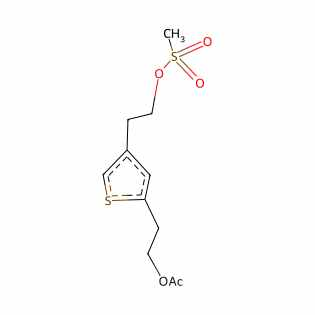 CC(=O)OCCc1cc(CCOS(C)(=O)=O)cs1